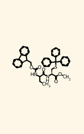 CCC(NC(=O)OCC1c2ccccc2-c2ccccc21)C(=O)N[C@@H](CSC(c1ccccc1)(c1ccccc1)c1ccccc1)C(=O)OC